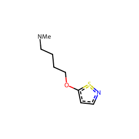 CNCCCCOc1ccns1